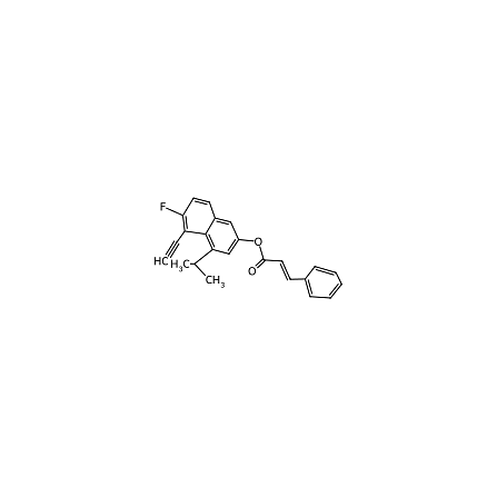 C#Cc1c(F)ccc2cc(OC(=O)/C=C/c3ccccc3)cc(C(C)C)c12